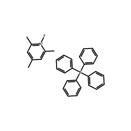 Cc1cc(C)[n+](F)c(C)c1.c1ccc([B-](c2ccccc2)(c2ccccc2)c2ccccc2)cc1